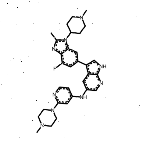 Cc1nc2c(F)cc(-c3c[nH]c4ncc(Nc5ccnc(N6CCN(C)CC6)c5)cc34)cc2n1C1CCN(C)CC1